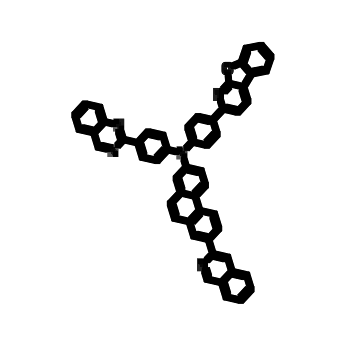 c1ccc2cc(-c3ccc4c(ccc5cc(N(c6ccc(-c7ccc8c(n7)oc7ccccc78)cc6)c6ccc(-c7ncc8ccccc8n7)cc6)ccc54)c3)ncc2c1